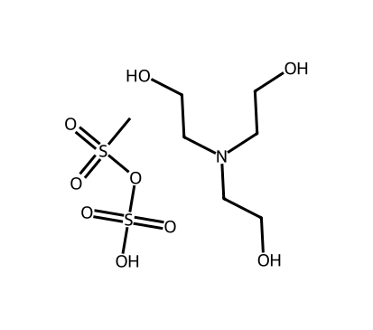 CS(=O)(=O)OS(=O)(=O)O.OCCN(CCO)CCO